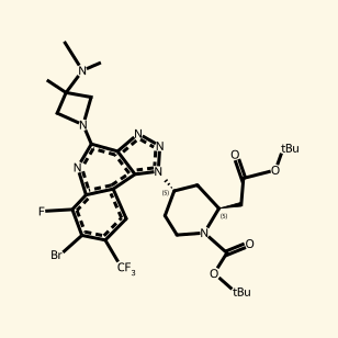 CN(C)C1(C)CN(c2nc3c(F)c(Br)c(C(F)(F)F)cc3c3c2nnn3[C@H]2CCN(C(=O)OC(C)(C)C)[C@H](CC(=O)OC(C)(C)C)C2)C1